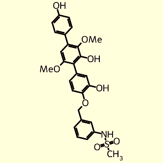 COc1cc(-c2ccc(O)cc2)c(OC)c(O)c1-c1ccc(OCc2cccc(NS(C)(=O)=O)c2)c(O)c1